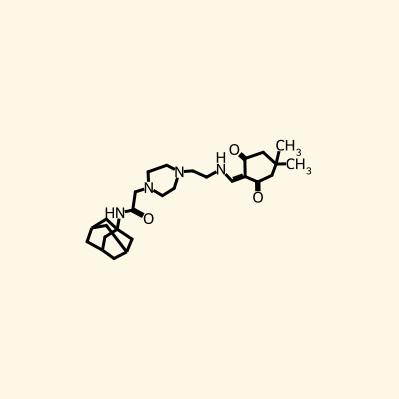 CC1(C)CC(=O)C(=CNCCN2CCN(CC(=O)NC34CC5CC(CC(C5)C3)C4)CC2)C(=O)C1